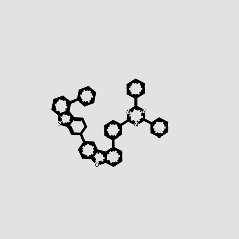 C1=c2sc3cccc(-c4ccccc4)c3c2=CCC1c1ccc2oc3cccc(-c4cccc(-c5nc(-c6ccccc6)nc(-c6ccccc6)n5)c4)c3c2c1